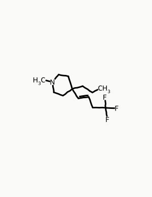 CCCC1(/C=C/CC(F)(F)F)CCN(C)CC1